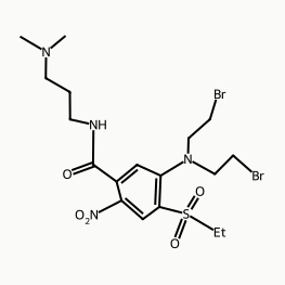 CCS(=O)(=O)c1cc([N+](=O)[O-])c(C(=O)NCCCN(C)C)cc1N(CCBr)CCBr